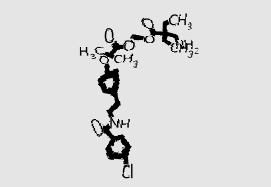 CCC(CC)(CN)C(=O)OCOC(=O)C(C)(C)Oc1ccc(CCNC(=O)c2ccc(Cl)cc2)cc1